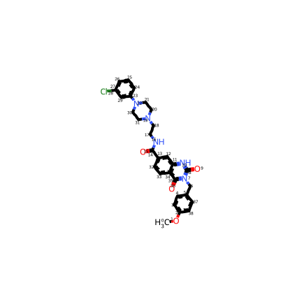 COc1ccc(Cn2c(=O)[nH]c3cc(C(=O)NCCN4CCN(c5cccc(Cl)c5)CC4)ccc3c2=O)cc1